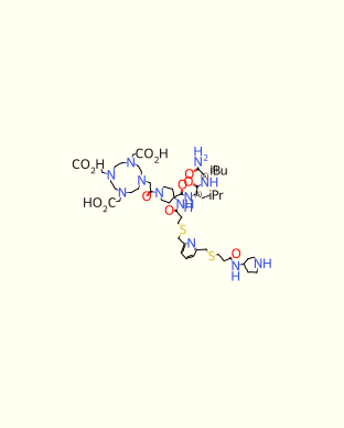 CC[C@H](C)[C@H](NC(=O)[C@H](CC(C)C)NC(=O)C1(NC(=O)CCSCc2cccc(CSCCC(=O)NC3CCNCC3)n2)CCN(C(=O)CN2CCN(CC(=O)O)CCN(CC(=O)O)CCN(CC(=O)O)CC2)CC1)C(N)=O